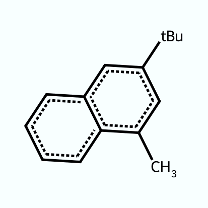 Cc1cc(C(C)(C)C)cc2ccccc12